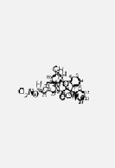 COC(c1ccccc1)(c1ccccc1)[C@H](Oc1nc(C)cc(C)n1)C(=O)NCCCCO[N+](=O)[O-]